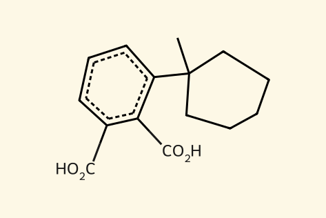 CC1(c2cccc(C(=O)O)c2C(=O)O)CCCCC1